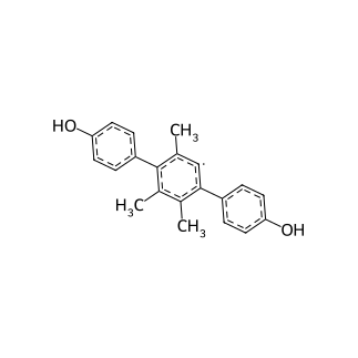 Cc1[c]c(-c2ccc(O)cc2)c(C)c(C)c1-c1ccc(O)cc1